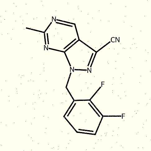 Cc1ncc2c(C#N)nn(Cc3cccc(F)c3F)c2n1